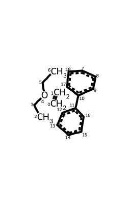 C=C.CCOCC.c1ccc(-c2ccccc2)cc1